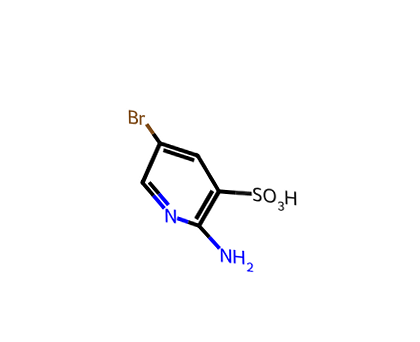 Nc1ncc(Br)cc1S(=O)(=O)O